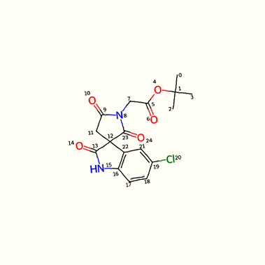 CC(C)(C)OC(=O)CN1C(=O)CC2(C(=O)Nc3ccc(Cl)cc32)C1=O